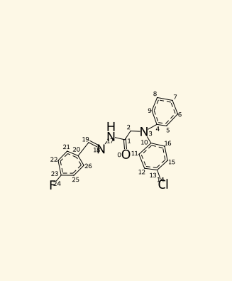 O=C(CN(c1ccccc1)c1ccc(Cl)cc1)N/N=C/c1ccc(F)cc1